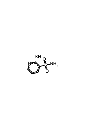 NS(=O)(=O)c1cccnc1.[KH]